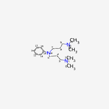 CN(C)CCCN(CCCN(C)C)c1c[c]ccc1